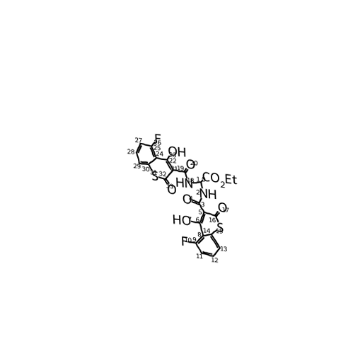 CCOC(=O)C(NC(=O)c1c(O)c2c(F)cccc2sc1=O)NC(=O)c1c(O)c2c(F)cccc2sc1=O